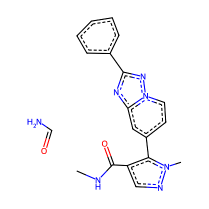 CNC(=O)c1cnn(C)c1-c1ccn2nc(-c3ccccc3)nc2c1.NC=O